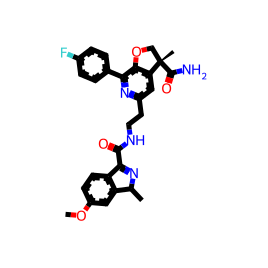 COc1ccc2c(c1)C(C)N=C2C(=O)NCCc1cc2c(c(-c3ccc(F)cc3)n1)OC[C@]2(C)C(N)=O